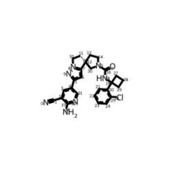 N#Cc1cc(-c2cc3n(n2)CC[C@@]32CCN(C(=O)NC3(c4ccccc4Cl)CCC3)C2)cnc1N